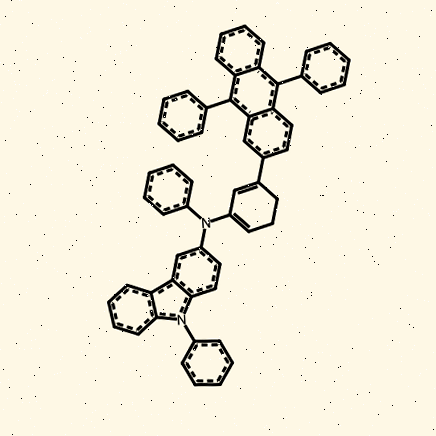 C1=C(c2ccc3c(-c4ccccc4)c4ccccc4c(-c4ccccc4)c3c2)CCC=C1N(c1ccccc1)c1ccc2c(c1)c1ccccc1n2-c1ccccc1